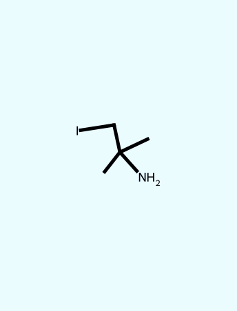 CC(C)(N)CI